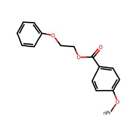 CCCOc1ccc(C(=O)OCCOc2ccccc2)cc1